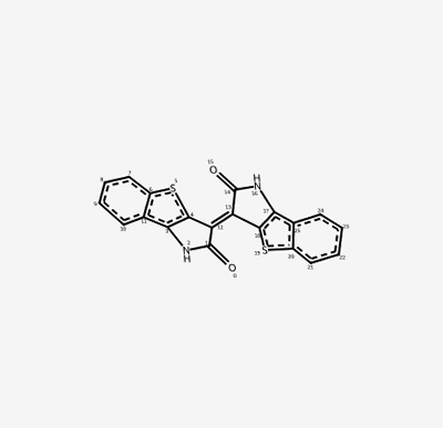 O=C1Nc2c(sc3ccccc23)C1=C1C(=O)Nc2c1sc1ccccc21